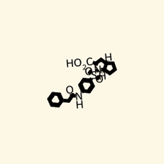 O=C(Cc1ccccc1)Nc1ccc(S(=O)(=O)N2C(C(=O)O)C[C@H]3CCC[C@H]32)cc1